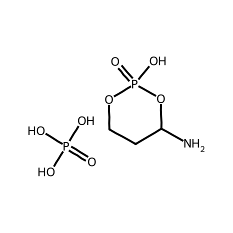 NC1CCOP(=O)(O)O1.O=P(O)(O)O